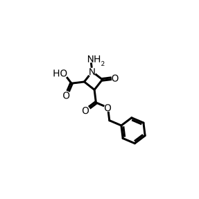 NN1C(=O)C(C(=O)OCc2ccccc2)C1C(=O)O